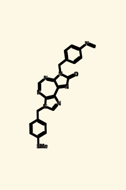 C=Nc1ccc(Cn2c3ncnc4c(ncn4Cc4ccc(SC)cc4)c-3nc2=O)cc1